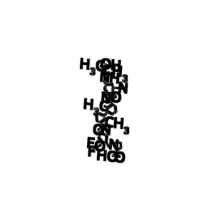 Cc1c(-c2nc3cc(CN4CCC[C@H]4C(=O)O)c(OC(F)F)cc3o2)cccc1-c1cccc(-c2nc3cc(CNCC(C)(C)O)cc(C#N)c3o2)c1C